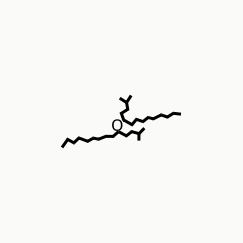 CCCCCCCCCC(CCC(C)C)OC(CCCCCCCCC)CCC(C)C